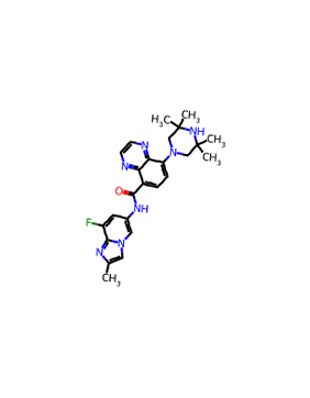 Cc1cn2cc(NC(=O)c3ccc(N4CC(C)(C)NC(C)(C)C4)c4nccnc34)cc(F)c2n1